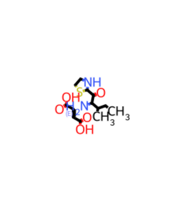 CCC(C)C(N)C(=O)C1NCCS1.O=C(O)/C=C/C(=O)O